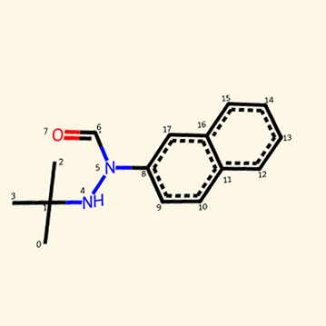 CC(C)(C)NN([C]=O)c1ccc2ccccc2c1